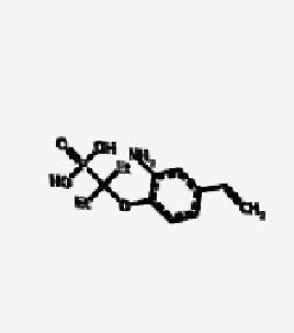 C=Cc1ccc(OC(CC)(CC)P(=O)(O)O)c(N)c1